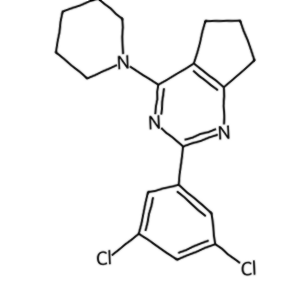 Clc1cc(Cl)cc(-c2nc3c(c(N4CCCCC4)n2)CCC3)c1